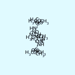 CO[Si](CCCNC(=O)N1CCN=C1C(C)(C)N=NC(C)(C)C1=NCCN1C(=O)NCCC[Si](OC)(OC)OC)(OC)OC